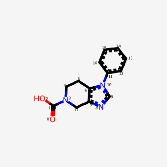 O=C(O)N1CCc2c(ncn2-c2ccccc2)C1